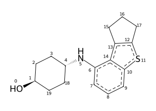 O[C@H]1CC[C@H](Nc2cccc3sc4c(c23)CCC4)CC1